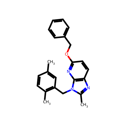 Cc1ccc(C)c(Cn2c(C)nc3ccc(OCc4ccccc4)nc32)c1